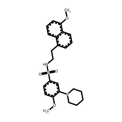 COc1ccc(S(=O)(=O)NCCc2cccc3c(OC)cccc23)cc1N1CCCCC1